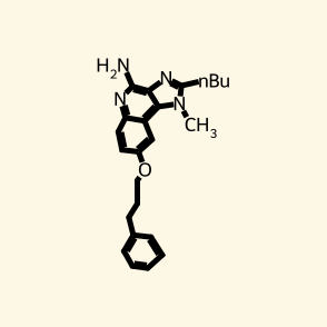 CCCCc1nc2c(N)nc3ccc(OCCCc4ccccc4)cc3c2n1C